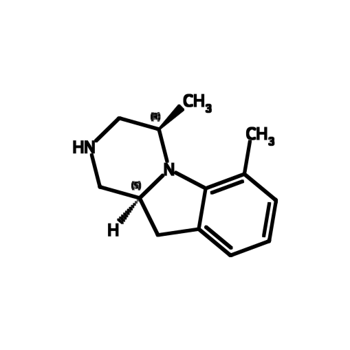 Cc1cccc2c1N1[C@H](CNC[C@H]1C)C2